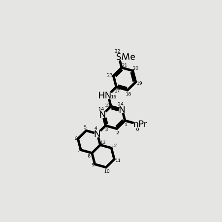 CCCc1cc(N2CCCC3CCCCC32)nc(Nc2cccc(SC)c2)n1